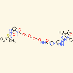 CC(=O)c1c(C)c2cnc(Nc3ccc(N4CCN(CC(=O)NCCOCCOCCOCCOCCC(=O)Nc5ccccc5C(=O)Nc5nc(C)c([N+](=O)[O-])s5)CC4)cn3)nc2n(C2CCCC2)c1=O